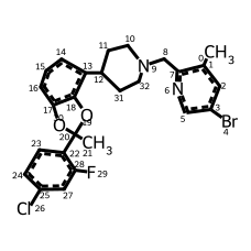 Cc1cc(Br)cnc1CN1CCC(c2cccc3c2OC(C)(c2ccc(Cl)cc2F)O3)CC1